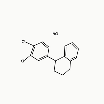 Cl.Clc1ccc(C2CCCc3ccccc32)cc1Cl